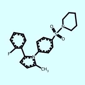 Cc1ccc(-c2ccccc2F)n1-c1ccc(S(=O)(=O)N2CCCCC2)cc1